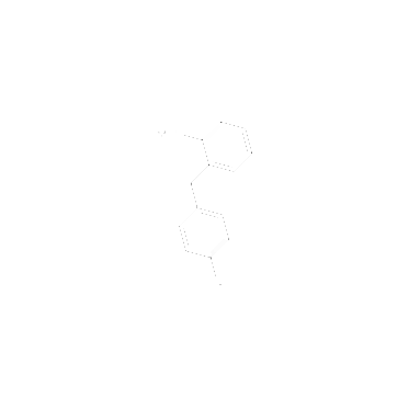 CSc1ccccc1Cc1ccc(S)cc1